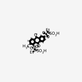 CCN(S(=O)(=O)O)S(=O)(=O)c1ccc2c(c1)C(=O)c1ccc(C)c(S(=O)(=O)N(CC)S(=O)(=O)O)c1C2=O